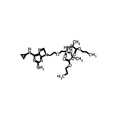 CCCOC(=O)[C@H](C)NP(=O)(COCCn1cnc2c(NC3CC3)nc(N)nc21)N[C@@H](C)C(=O)OCCC